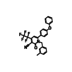 Cc1cccc(Cn2c(-c3ccc(Oc4ccccc4)cc3)cc(C(F)(F)C(F)(F)F)c(C#N)c2=O)c1